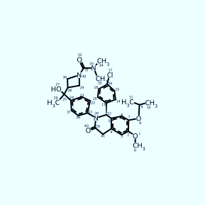 COc1cc2c(cc1OC(C)C)[C@H](c1ccc(Cl)cc1)N(c1ccc(C(C)(O)C3CN(C(=O)N(C)C)C3)cc1)C(=O)C2